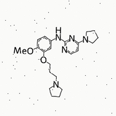 COc1ccc(Nc2nccc(N3CCCC3)n2)cc1OCCCN1CCCC1